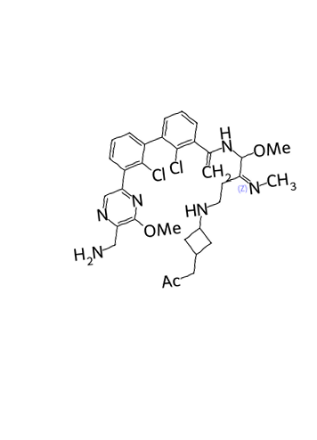 C=C(NC(OC)/C(CCNC1CC(CC(C)=O)C1)=N\C)c1cccc(-c2cccc(-c3cnc(CN)c(OC)n3)c2Cl)c1Cl